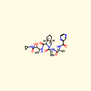 CCCC(NC(=O)C1[C@H]2CCC[C@H]2CN1C(=O)[C@@H](NC(=O)[C@@H](NC(=O)c1cnccn1)C(C)C)C(C)(C)C)C(O)C(=O)NC1CC1